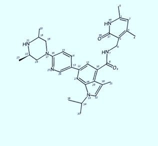 Cc1cc(C)c(CNC(=O)c2cc(-c3ccc(N4CC(C)N[C@H](C)C4)nc3)cc3c2c(C)cn3C(C)C)c(=O)[nH]1